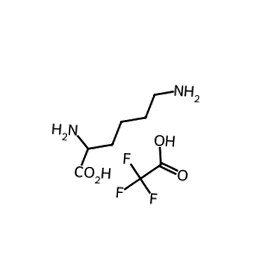 NCCCCC(N)C(=O)O.O=C(O)C(F)(F)F